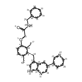 O=C(COc1ccc(F)c(Cc2c[nH]c3ncc(-c4cccnc4)cc23)c1F)NCc1ccccc1